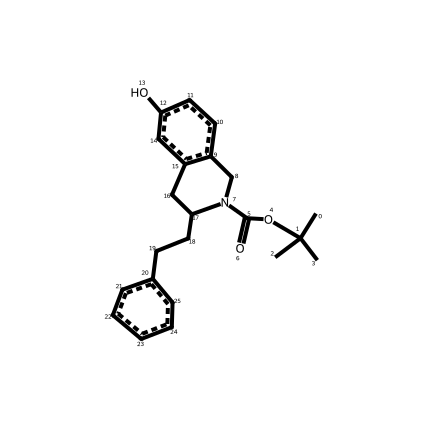 CC(C)(C)OC(=O)N1Cc2ccc(O)cc2CC1CCc1ccccc1